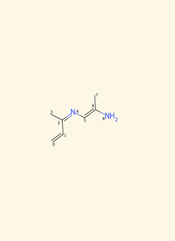 C=C/C(C)=N\C=C(/C)N